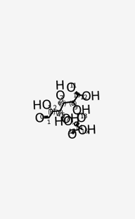 O=C[C@H](O)[C@@H](O)[C@H](O)[C@H](O)C(=O)O.O=S(=O)(O)O